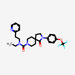 CCN(CCc1ccccn1)C(=O)N1CCC2(CC1)CCN(c1ccc(OC(F)(F)F)cc1)C2=O